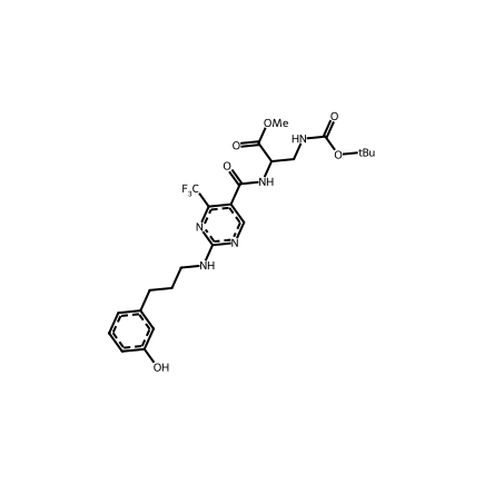 COC(=O)C(CNC(=O)OC(C)(C)C)NC(=O)c1cnc(NCCCc2cccc(O)c2)nc1C(F)(F)F